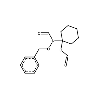 O=COC1(N(C=O)OCc2ccccc2)CCCCC1